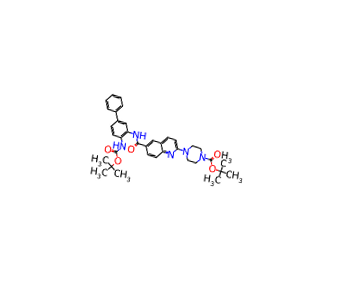 CC(C)(C)OC(=O)Nc1ccc(-c2ccccc2)cc1NC(=O)c1ccc2nc(N3CCN(C(=O)OC(C)(C)C)CC3)ccc2c1